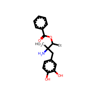 CCC(OC(=O)c1ccccc1)C(N)(Cc1ccc(O)c(O)c1)C(=O)O